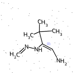 C=NN/C(=C\N)C(C)(C)C